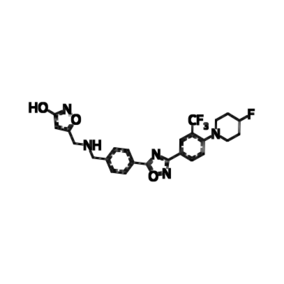 Oc1cc(CNCc2ccc(-c3nc(-c4ccc(N5CCC(F)CC5)c(C(F)(F)F)c4)no3)cc2)on1